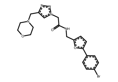 O=C(Cn1cc(CN2CCOCC2)nn1)NCc1ccc(-c2ccc(Br)cc2)o1